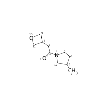 CC1CCN(C(=O)CC2COC2)C1